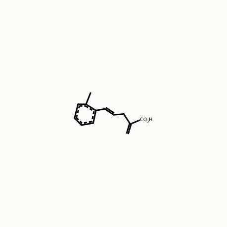 C=C(CC=Cc1ccccc1C)C(=O)O